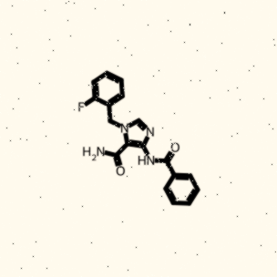 NC(=O)c1c(NC(=O)c2ccccc2)ncn1Cc1ccccc1F